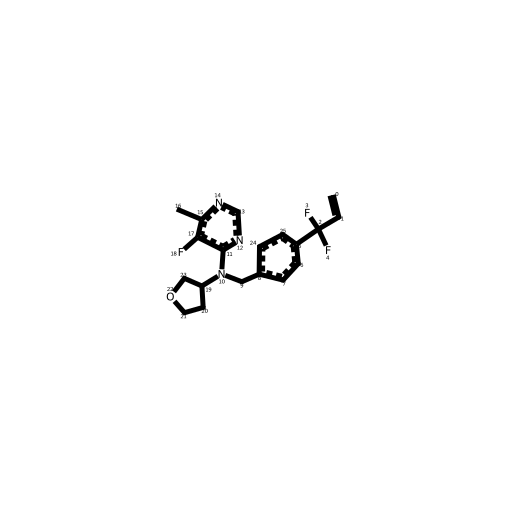 C=CC(F)(F)c1ccc(CN(c2ncnc(C)c2F)C2CCOC2)cc1